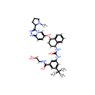 CN1CCCC1c1nnc2ccc(O[C@@H]3CC[C@H](NC(=O)Nc4cc(C(=O)NCCO)cc(C(C)(C)C)c4)c4ccccc43)cn12